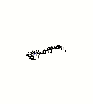 Cc1ccc(C(C)C)c(N2C(=O)CS/C2=N\C(=O)NCCc2ccc(C3N=CN(c4ccc(OC(F)(F)F)cc4)N3)cc2)c1